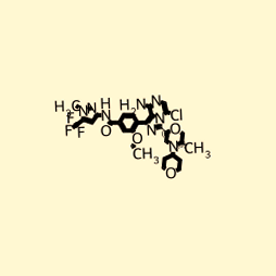 CCOc1cc(C(=O)Nc2cc(C(F)(F)F)n(C)n2)ccc1-c1nc([C@H]2CN(C3CCOCC3)[C@@H](C)CO2)n2c(Cl)cnc(N)c12